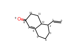 C=CC1CCCC2=CC(=O)CCC21